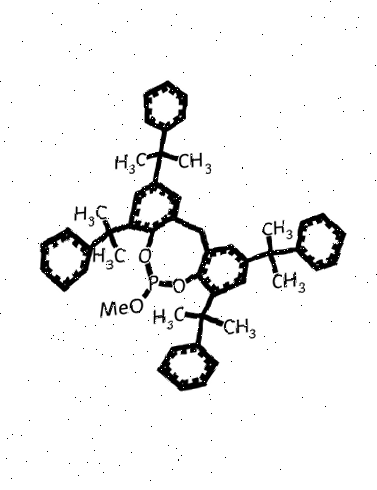 COP1Oc2c(cc(C(C)(C)c3ccccc3)cc2C(C)(C)c2ccccc2)Cc2cc(C(C)(C)c3ccccc3)cc(C(C)(C)c3ccccc3)c2O1